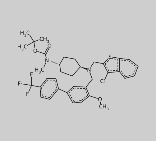 COc1ccc(-c2ccc(C(F)(F)F)cc2)cc1CN(Cc1sc2ccccc2c1Cl)[C@H]1CC[C@H](N(C)C(=O)OC(C)(C)C)CC1